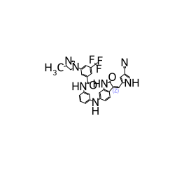 CC1CN(c2cc(C(=O)Nc3cccc(Nc4ccc5c(c4)NC(=O)/C5=C\c4cc(C#N)c[nH]4)c3)cc(C(F)(F)F)c2)C=N1